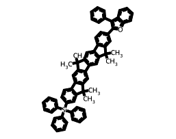 CC1(C)c2cc(-c3oc4ccccc4c3-c3ccccc3)ccc2-c2cc3c(cc21)-c1cc2c(cc1C3(C)C)-c1ccc([Si](c3ccccc3)(c3ccccc3)c3ccccc3)cc1C2(C)C